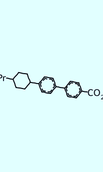 CCCC1CCC(c2ccc(-c3ccc(C(=O)O)cc3)cc2)CC1